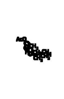 CC(=O)OC1CC[C@@]2(C)C(=CC=C3[C@@H]4CC[C@H]([C@H](C)CCCC(C)(C)O)[C@@]4(C)CC[C@@H]32)C1